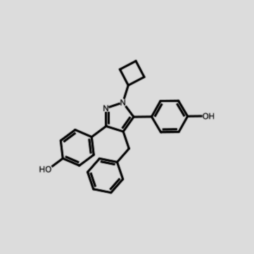 Oc1ccc(-c2nn(C3CCC3)c(-c3ccc(O)cc3)c2Cc2ccccc2)cc1